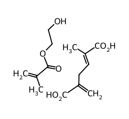 C=C(C)C(=O)OCCO.C=C(CC=C(C)C(=O)O)C(=O)O